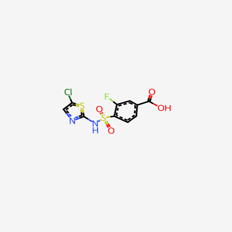 O=C(O)c1ccc(S(=O)(=O)Nc2ncc(Cl)s2)c(F)c1